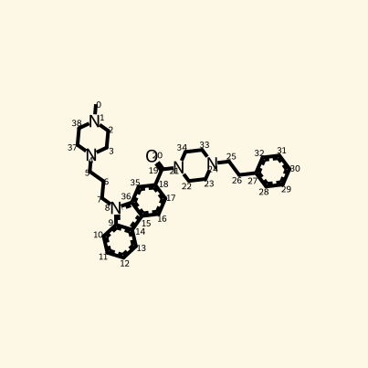 CN1CCN(CCCn2c3ccccc3c3ccc(C(=O)N4CCN(CCc5ccccc5)CC4)cc32)CC1